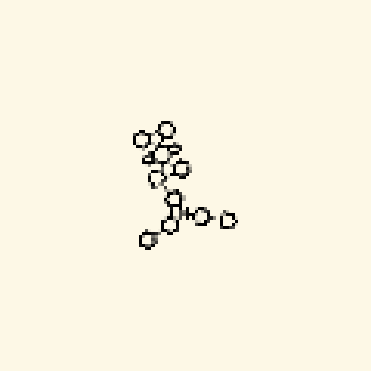 c1ccc(-c2ccc(-n3c4ccc(-c5ccccc5)cc4c4cc(-c5cccc6c5-c5ccccc5C65c6ccccc6C6(c7ccccc7-c7ccccc76)c6ccccc65)ccc43)cc2)cc1